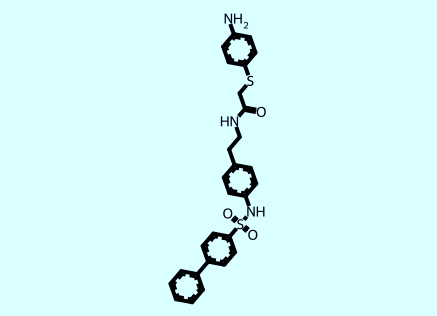 Nc1ccc(SCC(=O)NCCc2ccc(NS(=O)(=O)c3ccc(-c4ccccc4)cc3)cc2)cc1